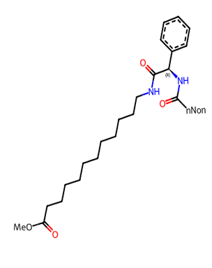 CCCCCCCCCC(=O)N[C@@H](C(=O)NCCCCCCCCCCCC(=O)OC)c1ccccc1